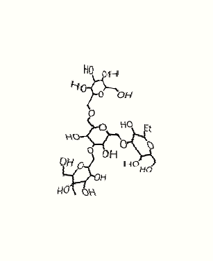 CCC1OC(CO)C(O)C(OCC2OC(COCC3OC(CO)C(O)C(O)C3O)C(O)C(OCC3OC(CO)C(C)(O)C(O)C3O)C2O)C1O